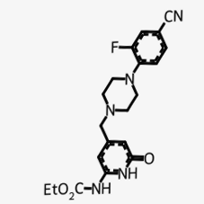 CCOC(=O)Nc1cc(CN2CCN(c3ccc(C#N)cc3F)CC2)cc(=O)[nH]1